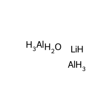 O.[AlH3].[AlH3].[LiH]